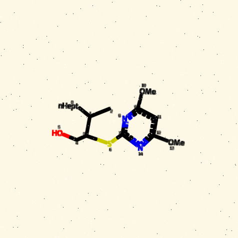 CCCCCCCC(C)C(CO)Sc1nc(OC)cc(OC)n1